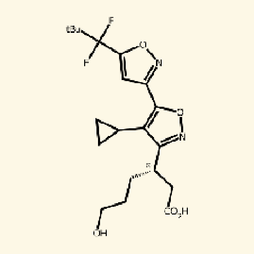 CC(C)(C)C(F)(F)c1cc(-c2onc([C@@H](CCCO)CC(=O)O)c2C2CC2)no1